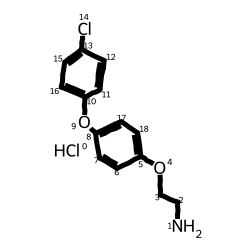 Cl.NCCOc1ccc(Oc2ccc(Cl)cc2)cc1